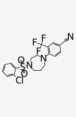 N#Cc1ccc(N2CCCN(S(=O)(=O)c3ccccc3Cl)CC2)c(C(F)(F)F)c1